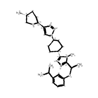 CC(C)c1cccc(OC(C)c2nnc([C@H]3CC[C@H](n4cc([C@@H]5CC[C@@H](N)CO5)nn4)CC3)n2C)c1